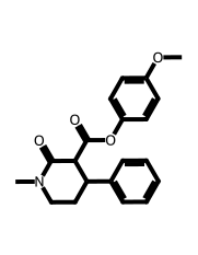 COc1ccc(OC(=O)C2C(=O)N(C)CCC2c2ccccc2)cc1